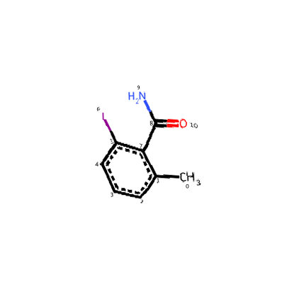 Cc1cccc(I)c1C(N)=O